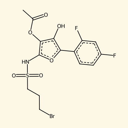 CC(=O)Oc1c(NS(=O)(=O)CCCBr)oc(-c2ccc(F)cc2F)c1O